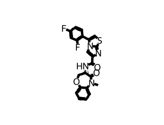 CN1C(=O)[C@@H](NC(=O)c2cn3c(-c4ccc(F)cc4F)csc3n2)COc2ccccc21